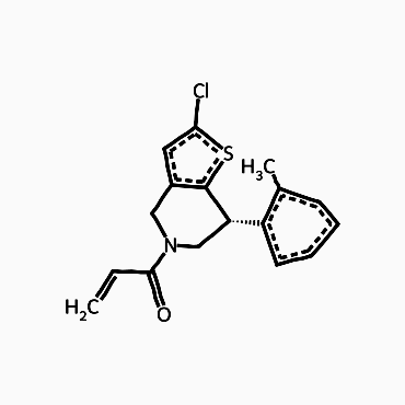 C=CC(=O)N1Cc2cc(Cl)sc2[C@H](c2ccccc2C)C1